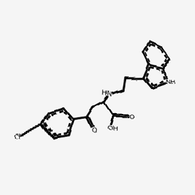 O=C(CC(NCCc1c[nH]c2ccccc12)C(=O)O)c1ccc(Cl)cc1